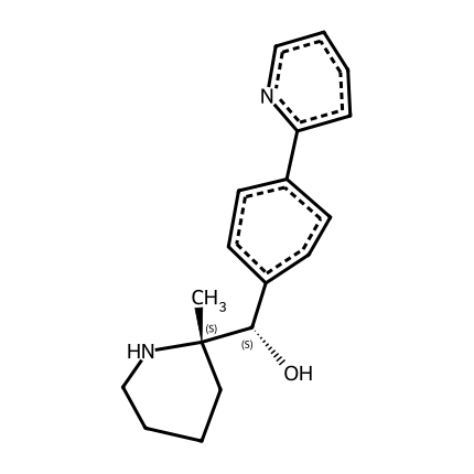 C[C@@]1([C@@H](O)c2ccc(-c3ccccn3)cc2)CCCCN1